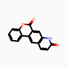 O=c1ccc2cc3c(cc2[nH]1)c(=O)oc1ccccc13